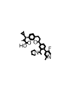 Cc1cc(-c2ccc(C3CCc4ccc([C@H](C5CC5)[C@H](C)C(=O)O)cc4O3)cc2C(C)N2CCCC2)c(F)cn1